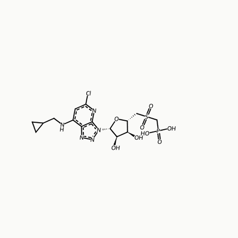 O=P(O)(O)CS(=O)(=O)C[C@H]1O[C@@H](n2nnc3c(NCC4CC4)cc(Cl)nc32)[C@H](O)[C@@H]1O